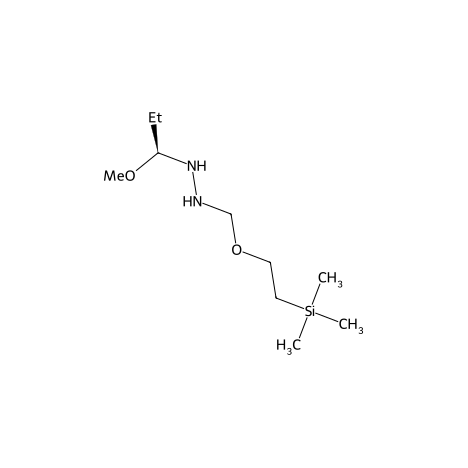 CC[C@@H](NNCOCC[Si](C)(C)C)OC